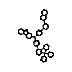 c1ccc(C2(c3ccccc3)c3ccccc3-c3c(-c4ccc(N(c5ccc(-c6cccc(-c7ccc8ccccc8c7)c6)cc5)c5ccc6c(c5)oc5ccccc56)cc4)cccc32)cc1